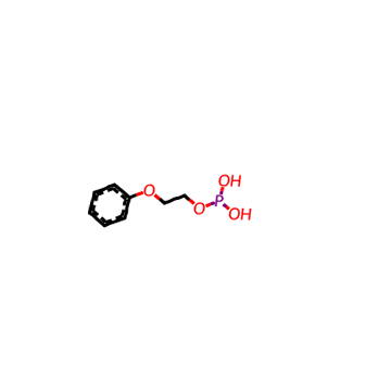 OP(O)OCCOc1ccccc1